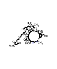 CSC1CC(=O)N(CCOCCOCCN2C(=O)CC(CC(=O)N(C)[C@H](C)C(=O)O[C@H]3CC(=O)N(C)c4cc(cc(CO)c4Cl)C/C(C)=C/C=C/[C@@H](CO)[C@@]4(O)C[C@H](OC(=O)N4)[C@@H](C)[C@@H]4O[C@@]34C)C2=O)C1=O